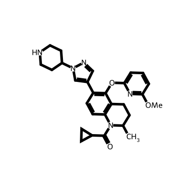 COc1cccc(Oc2c(-c3cnn(C4CCNCC4)c3)ccc3c2CCC(C)N3C(=O)C2CC2)n1